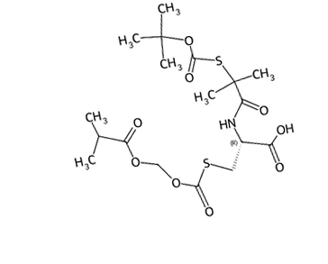 CC(C)C(=O)OCOC(=O)SC[C@H](NC(=O)C(C)(C)SC(=O)OC(C)(C)C)C(=O)O